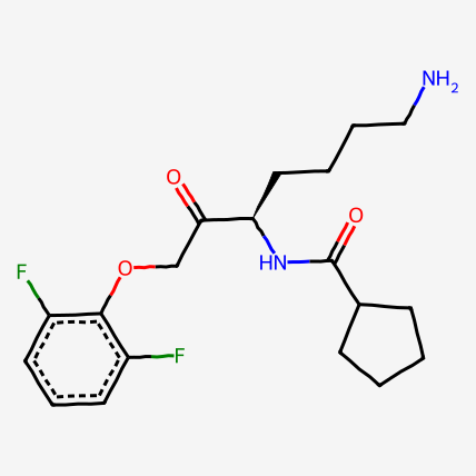 NCCCC[C@@H](NC(=O)C1CCCC1)C(=O)COc1c(F)cccc1F